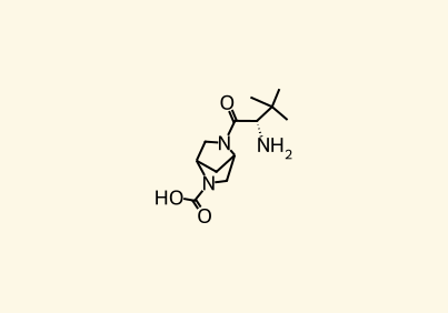 CC(C)(C)[C@H](N)C(=O)N1CC2CC1CN2C(=O)O